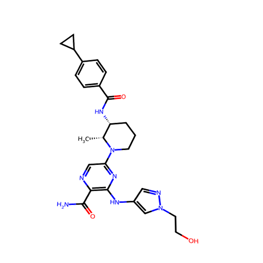 C[C@@H]1[C@H](NC(=O)c2ccc(C3CC3)cc2)CCCN1c1cnc(C(N)=O)c(Nc2cnn(CCO)c2)n1